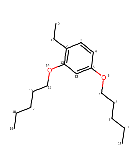 C[CH]c1ccc(OCCCCC)cc1OCCCCC